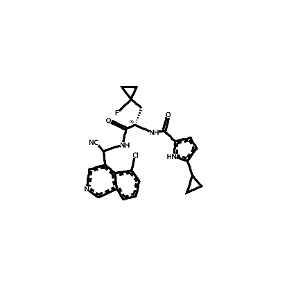 N#CC(NC(=O)[C@H](CC1(F)CC1)NC(=O)c1ccc(C2CC2)[nH]1)c1cncc2cccc(Cl)c12